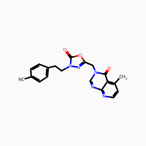 Cc1ccnc2ncn(Cc3nn(CCc4ccc(C#N)cc4)c(=O)o3)c(=O)c12